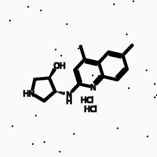 Cc1ccc2nc(N[C@@H]3CNC[C@H]3O)cc(C)c2c1.Cl.Cl